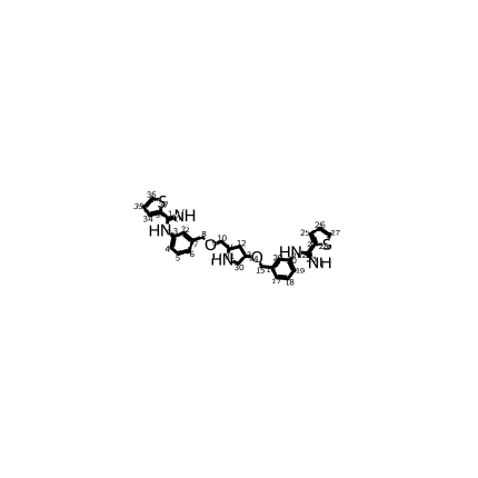 N=C(Nc1cccc(COCC2CC(OCc3cccc(NC(=N)c4cccs4)c3)CN2)c1)c1cccs1